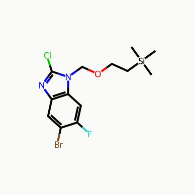 C[Si](C)(C)CCOCn1c(Cl)nc2cc(Br)c(F)cc21